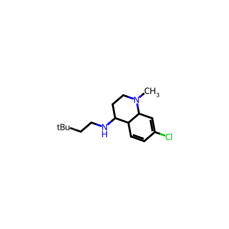 CN1CCC(NCCC(C)(C)C)C2C=CC(Cl)=CC21